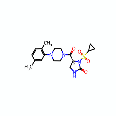 Cc1ccc(C)c(N2CCN(C(=O)[C@@H]3CNC(=O)N3S(=O)(=O)C3CC3)CC2)c1